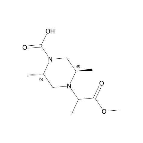 COC(=O)C(C)N1C[C@H](C)N(C(=O)O)C[C@H]1C